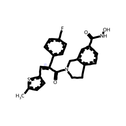 Cc1ccc(/C=C(\C(=O)N2CCc3ccc(C(=O)NO)cc3C2)c2ccc(F)cc2)s1